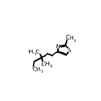 CCC(C)(C)CCc1csc(C)n1